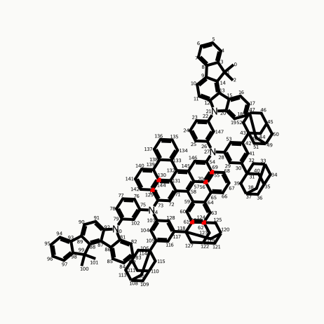 CC1(C)c2ccccc2-c2ccc3c(c21)c1ccccc1n3-c1cccc(N(c2cc(C34CC5CC(CC(C5)C3)C4)cc(C34CC5CC(CC(C5)C3)C4)c2)c2ccc3c(-c4ccccc4-c4ccccc4)c4cc(N(c5cccc(-n6c7ccccc7c7c8c(ccc76)-c6ccccc6C8(C)C)c5)c5cc(C67CC8CC(CC(C8)C6)C7)cc(C67CC8CC(CC(C8)C6)C7)c5)ccc4c(-c4ccccc4-c4ccccc4)c3c2)c1